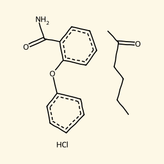 CCCCC(C)=O.Cl.NC(=O)c1ccccc1Oc1ccccc1